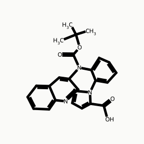 CC(C)(C)OC(=O)N(c1cnc2ccccc2c1)c1ccccc1-n1nccc1C(=O)O